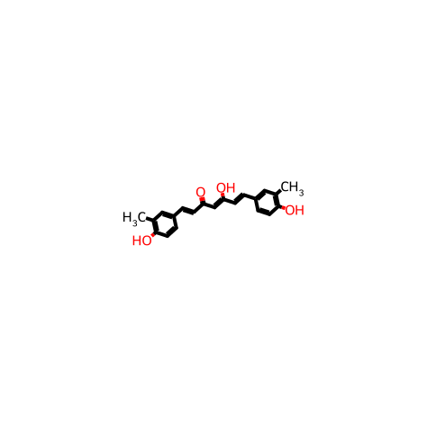 Cc1cc(/C=C/C(=O)/C=C(O)/C=C/c2ccc(O)c(C)c2)ccc1O